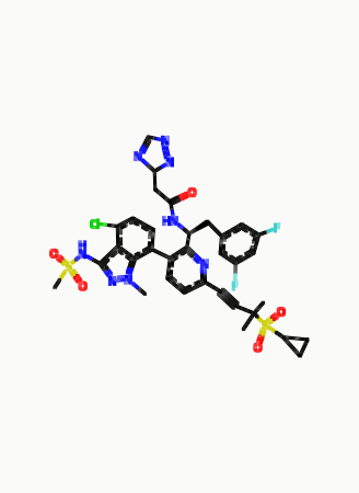 Cn1nc(NS(C)(=O)=O)c2c(Cl)ccc(-c3ccc(C#CC(C)(C)S(=O)(=O)C4CC4)nc3[C@H](Cc3cc(F)cc(F)c3)NC(=O)CC3N=CN=N3)c21